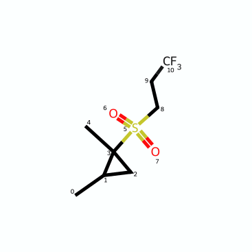 CC1CC1(C)S(=O)(=O)CCC(F)(F)F